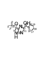 CC(C)(C)C(=O)c1c[nH]c2ncc(C(O)c3ccccc3)nc12